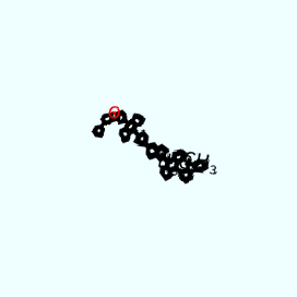 CC1(C)c2ccccc2-c2cccc(-c3c4ccccc4c(-c4ccc5cc(-c6ccc(-c7c8ccccc8c(-c8ccc9oc%10ccc(-c%11ccccc%11)cc%10c9c8)c8ccccc78)cc6)ccc5c4)c4ccccc34)c21